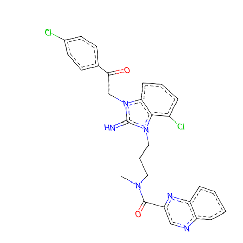 CN(CCCn1c(=N)n(CC(=O)c2ccc(Cl)cc2)c2cccc(Cl)c21)C(=O)c1cnc2ccccc2n1